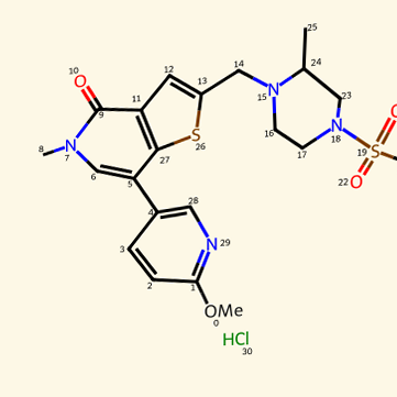 COc1ccc(-c2cn(C)c(=O)c3cc(CN4CCN(S(C)(=O)=O)CC4C)sc23)cn1.Cl